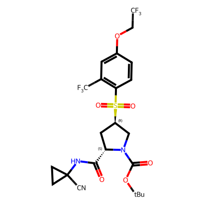 CC(C)(C)OC(=O)N1C[C@H](S(=O)(=O)c2ccc(OCC(F)(F)F)cc2C(F)(F)F)C[C@H]1C(=O)NC1(C#N)CC1